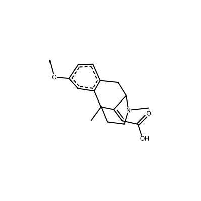 COc1ccc2c(c1)C1(C)CCN(C)C(C2)C1=CC(=O)O